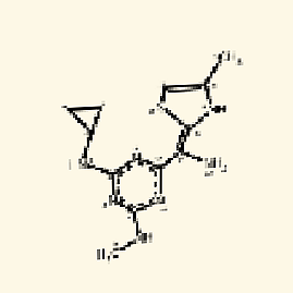 CNc1nc(NC2CC2)nc(/C(N)=C2/NC(C)=CS2)n1